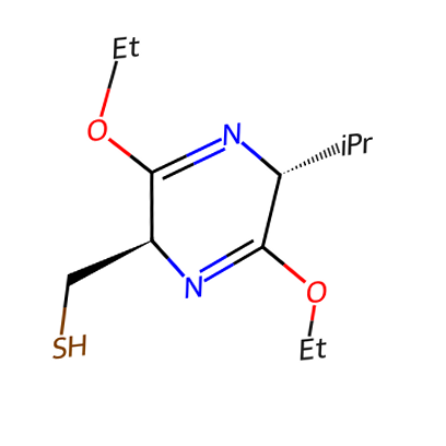 CCOC1=N[C@H](C(C)C)C(OCC)=N[C@H]1CS